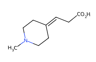 CN1CCC(=CCC(=O)O)CC1